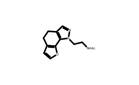 CC(=O)NCCn1ncc2c1-c1occc1CC2